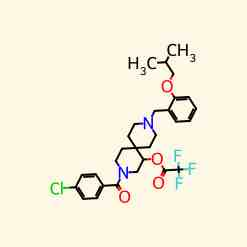 CC(C)COc1ccccc1CN1CCC2(CC1)CCN(C(=O)c1ccc(Cl)cc1)CC2OC(=O)C(F)(F)F